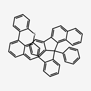 c1ccc(C2(c3ccccc3-c3cc4c5c(cccc5c3)-c3ccccc3S4)c3ccccc3-c3ccc4ccccc4c32)cc1